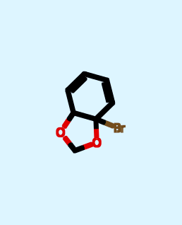 BrC12C=CC=CC1OCO2